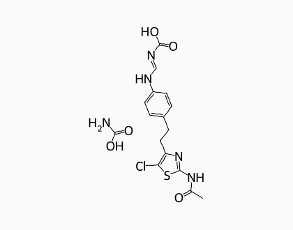 CC(=O)Nc1nc(CCc2ccc(NC=NC(=O)O)cc2)c(Cl)s1.NC(=O)O